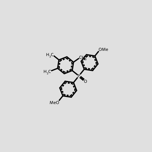 COc1ccc(P(=O)(c2ccc(OC)cc2)c2cc(C)c(C)cc2C)cc1